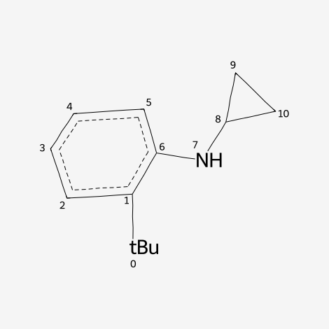 CC(C)(C)c1ccccc1NC1CC1